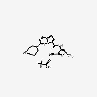 Cn1cc(NC(=O)c2ccc3cnc(N4CCCNCC4)nn23)c(C#N)n1.O=C(O)C(F)(F)F